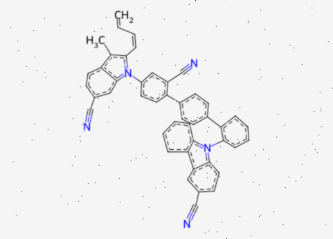 C=C/C=C\c1c(C)c2ccc(C#N)cc2n1-c1ccc(-c2ccc(-c3ccccc3-n3c4ccccc4c4cc(C#N)ccc43)cc2)c(C#N)c1